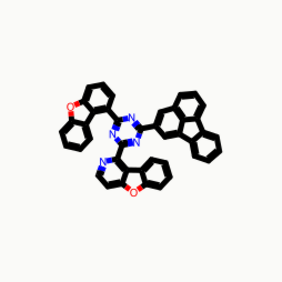 c1ccc2c(c1)-c1cccc3cc(-c4nc(-c5cccc6oc7ccccc7c56)nc(-c5nccc6oc7ccccc7c56)n4)cc-2c13